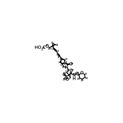 CC(CCN1Cc2cc(C#CC#CC3(COC(=O)O)CC3)cn2C1=O)(C(=O)NOC1CCCCO1)S(C)(=O)=O